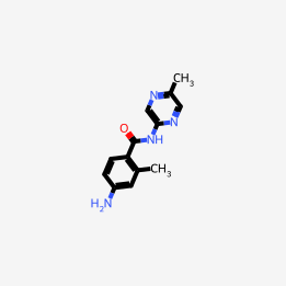 Cc1cnc(NC(=O)c2ccc(N)cc2C)cn1